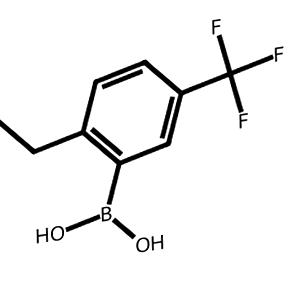 CCc1ccc(C(F)(F)F)cc1B(O)O